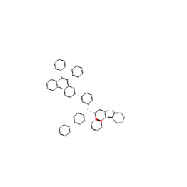 c1ccc(-c2ccc(N(c3cccc(-c4ccc5c(c4)c(-c4ccccc4)c(-c4ccccc4)c4ccccc45)c3)c3ccc4c(c3)sc3ccccc34)c(-c3ccccc3)c2)cc1